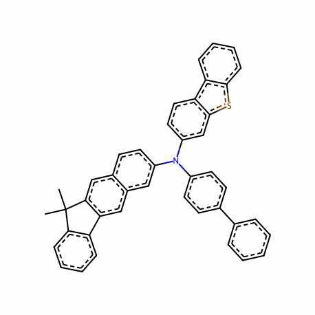 CC1(C)c2ccccc2-c2cc3cc(N(c4ccc(-c5ccccc5)cc4)c4ccc5c(c4)sc4ccccc45)ccc3cc21